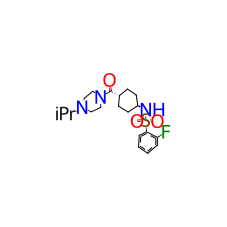 CC(C)N1CCN(C(=O)[C@H]2CC[C@H](NS(=O)(=O)c3ccccc3F)CC2)CC1